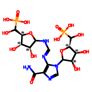 NC(=O)c1ncn(C2O[C@H](C(O)P(=O)(O)O)[C@@H](O)[C@H]2O)c1N=CNC1O[C@H](C(O)P(=O)(O)O)[C@@H](O)[C@H]1O